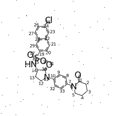 O=C1CCCCN1c1ccc(N2CCC(NS(=O)(=O)c3ccc4cc(Cl)ccc4c3)C2=O)cc1